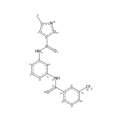 Cc1cc(C(=O)Nc2cccc(NC(=O)c3cccc(C(F)(F)F)c3)c2)on1